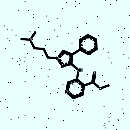 COC(=O)c1ccncc1Nc1nn(CCCN(C)C)cc1-c1ccccc1